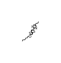 CCCCCCOc1cc2sc(-c3ncc(CCC)cn3)cc2s1